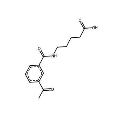 CC(=O)c1cccc(C(=O)NCCCCC(=O)O)c1